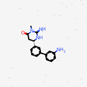 CN1C(=N)N[C@H](c2cccc(-c3cccc(N)c3)c2)CC1=O